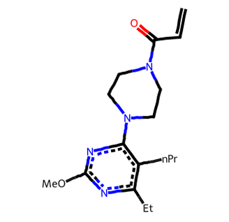 C=CC(=O)N1CCN(c2nc(OC)nc(CC)c2CCC)CC1